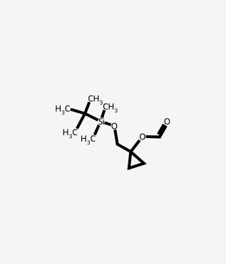 CC(C)(C)[Si](C)(C)OCC1(OC=O)CC1